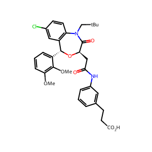 COc1cccc([C@H]2O[C@H](CC(=O)Nc3cccc(CCC(=O)O)c3)C(=O)N(CC(C)(C)C)c3ccc(Cl)cc32)c1OC